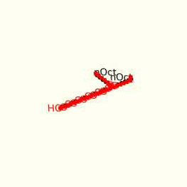 CCCCCCCC/C=C\CCCCCCCCOCC(COCCOCCOCCOCCOCCOCCOCCOCCOCCOCCO)OCCCCCCCC/C=C\CCCCCCCC